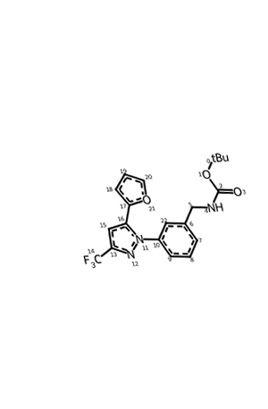 CC(C)(C)OC(=O)NCc1cccc(-n2nc(C(F)(F)F)cc2-c2ccco2)c1